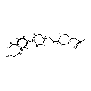 CC(=O)CN1CCC(CCN2CCN(c3ccc4c(c3)CCCCC4)CC2)CC1